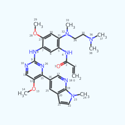 C=CC(=O)Nc1cc(Nc2ncc(OC)c(-c3cnc4c(ccn4C)c3)n2)c(OC)cc1N(C)CCN(C)C